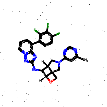 Cc1cc(N2C[C@H]3C(Nc4nc5c(-c6ccc(F)c(F)c6F)cccn5n4)[C@@H]4OCC34C2)ncn1